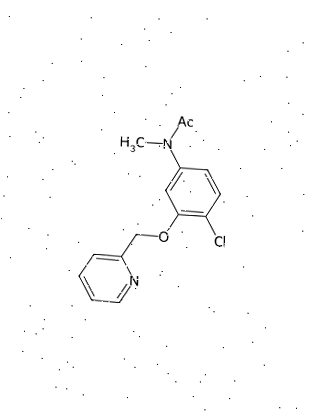 CC(=O)N(C)c1ccc(Cl)c(OCc2ccccn2)c1